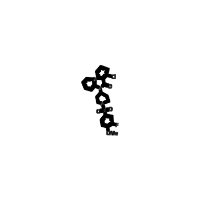 COc1ccc(S(=O)(=O)N2CCC(N(C(=O)c3ccccc3Cl)c3ccccn3)CC2)cc1F